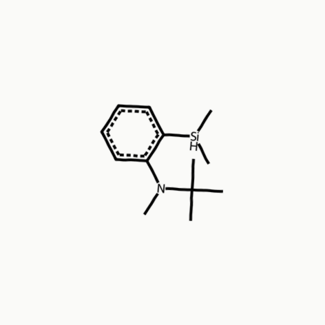 CN(c1ccccc1[SiH](C)C)C(C)(C)C